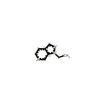 CCn1ncc2c[c]ncc21